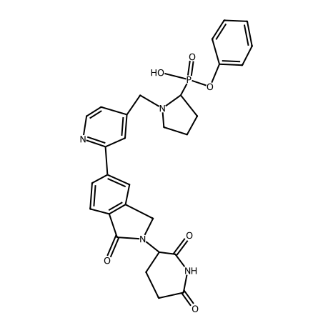 O=C1CCC(N2Cc3cc(-c4cc(CN5CCCC5P(=O)(O)Oc5ccccc5)ccn4)ccc3C2=O)C(=O)N1